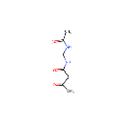 CC(=O)CC(=O)NCNC(C)=O